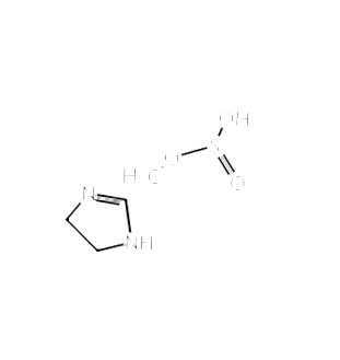 C1=NCCN1.COS(=O)O